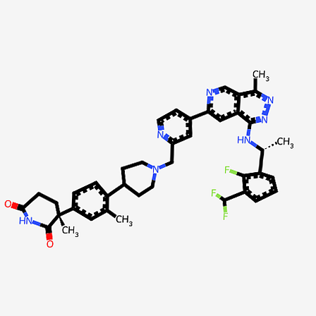 Cc1cc([C@@]2(C)CCC(=O)NC2=O)ccc1C1CCN(Cc2cc(-c3cc4c(N[C@H](C)c5cccc(C(F)F)c5F)nnc(C)c4cn3)ccn2)CC1